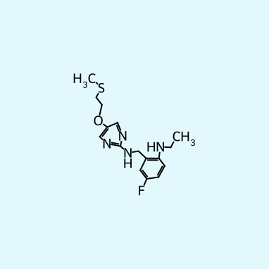 CCNc1ccc(F)cc1CNc1ncc(OCCSC)cn1